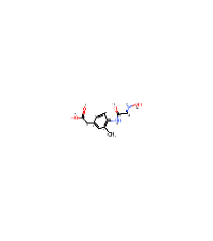 Cc1cc(CC(=O)O)ccc1NC(=O)/C=N/O